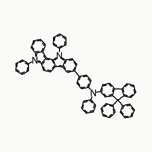 c1ccc(N(c2ccc(-c3ccc4c(c3)c3ccc5c(c6ccccc6n5-c5ccccc5)c3n4-c3ccccc3)cc2)c2ccc3c(c2)C(c2ccccc2)(c2ccccc2)c2ccccc2-3)cc1